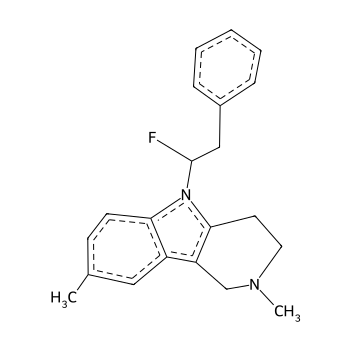 Cc1ccc2c(c1)c1c(n2C(F)Cc2ccccc2)CCN(C)C1